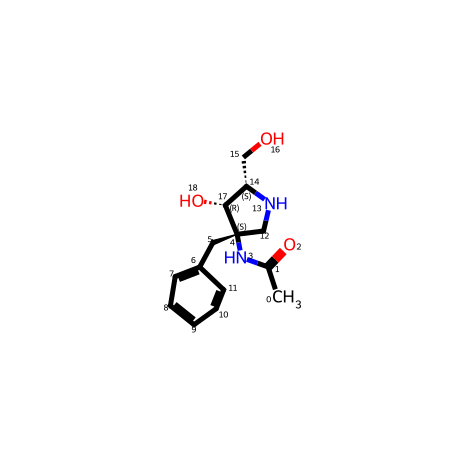 CC(=O)N[C@@]1(Cc2ccccc2)CN[C@@H](CO)[C@H]1O